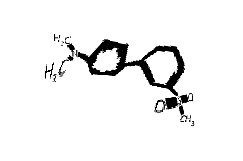 CN(C)c1ccc(C2=CC(S(C)(=O)=O)=CC[CH]2)cc1